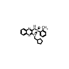 Cc1ccccc1S(=O)(=O)Nc1nc2ccccc2nc1OCC1CCCC1